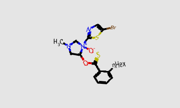 CCCCCCc1ccccc1C(=S)OC1CN(C)C[N+]1([O-])c1ncc(Br)s1